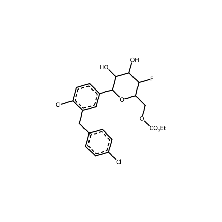 CCOC(=O)OCC1OC(c2ccc(Cl)c(Cc3ccc(Cl)cc3)c2)C(O)C(O)C1F